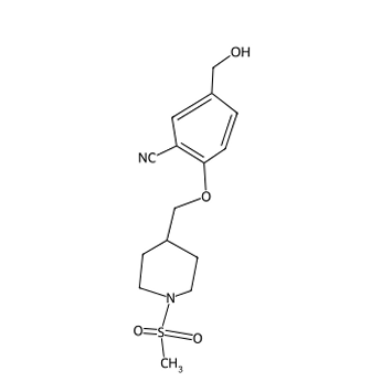 CS(=O)(=O)N1CCC(COc2ccc(CO)cc2C#N)CC1